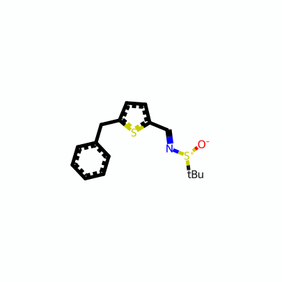 CC(C)(C)[S+]([O-])N=Cc1ccc(Cc2ccccc2)s1